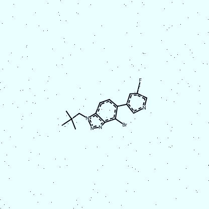 CC(C)(C)Cn1nnc2c(Br)c(-c3cncc(F)c3)ccc21